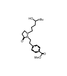 CCCCC(O)CCCN1CCC(=O)N1CCc1ccc(C(=O)OC)cc1